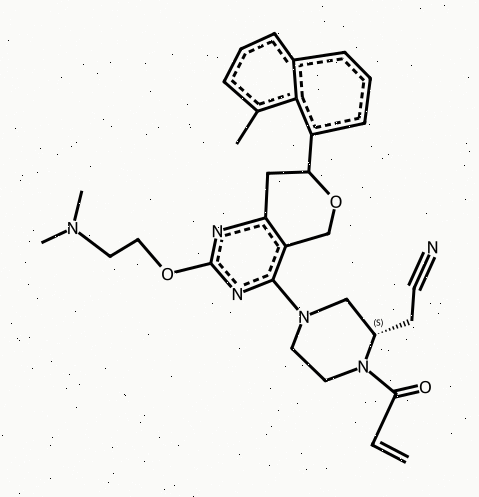 C=CC(=O)N1CCN(c2nc(OCCN(C)C)nc3c2COC(c2cccc4cccc(C)c24)C3)C[C@@H]1CC#N